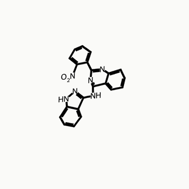 O=[N+]([O-])c1ccccc1-c1nc(Nc2n[nH]c3ccccc23)c2ccccc2n1